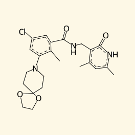 Cc1cc(C)c(CNC(=O)c2cc(Cl)cc(N3CCC4(CC3)OCCO4)c2C)c(=O)[nH]1